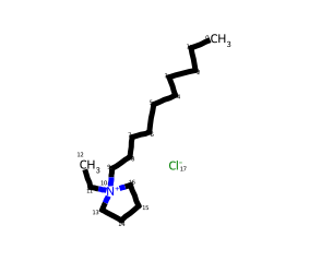 CCCCCCCCCC[N+]1(CC)CCCC1.[Cl-]